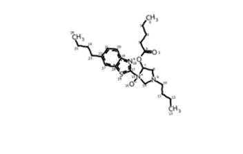 CCCCC(=O)OC1CN(CCCC)C[N+]1([O-])c1nc2ccc(CCCC)cc2s1